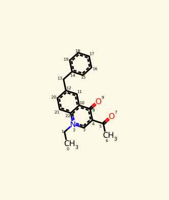 CCn1cc(C(C)=O)c(=O)c2cc(Cc3ccccc3)ccc21